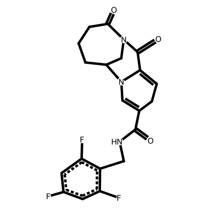 O=C(NCc1c(F)cc(F)cc1F)C1=CN2C(=CC1)C(=O)N1CC2CCCC1=O